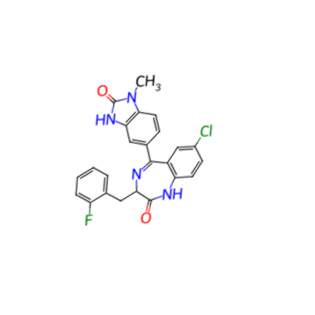 Cn1c(=O)[nH]c2cc(C3=NC(Cc4ccccc4F)C(=O)Nc4ccc(Cl)cc43)ccc21